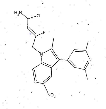 Cc1cc(-c2c(C)n(C/C(F)=C/C(N)Cl)c3ccc([N+](=O)[O-])cc23)cc(C)n1